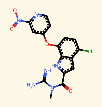 CN(C(=N)N)C(=O)c1cc2c(Cl)ccc(Oc3ccnc([N+](=O)[O-])c3)c2[nH]1